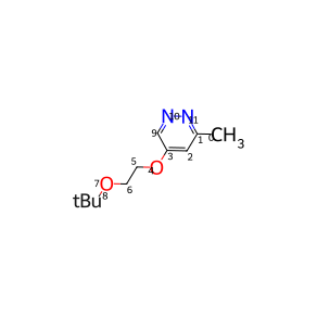 Cc1cc(OCCOC(C)(C)C)cnn1